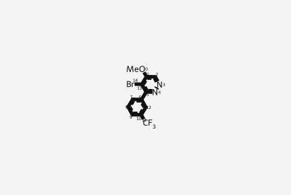 COc1cnnc(-c2cccc(C(F)(F)F)c2)c1Br